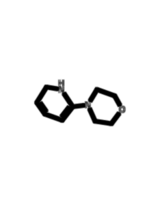 C1=CCNC(N2CCOCC2)=C1